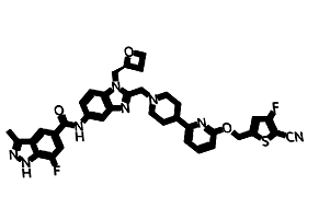 Cc1n[nH]c2c(F)cc(C(=O)Nc3ccc4c(c3)nc(CN3CCC(c5cccc(OCc6cc(F)c(C#N)s6)n5)CC3)n4C[C@@H]3CCO3)cc12